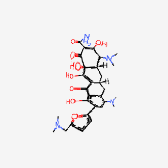 CN(C)Cc1ccc(-c2cc(N(C)C)c3c(c2O)C(=O)C2=C(O)[C@]4(O)C(=O)C(C(N)=O)=C(O)[C@@H](N(C)C)[C@@H]4C[C@@H]2C3)o1